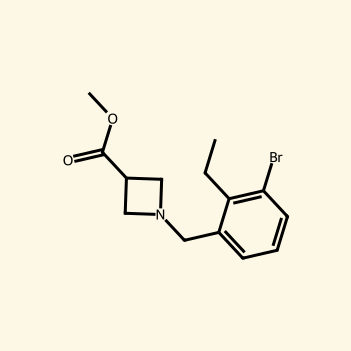 CCc1c(Br)cccc1CN1CC(C(=O)OC)C1